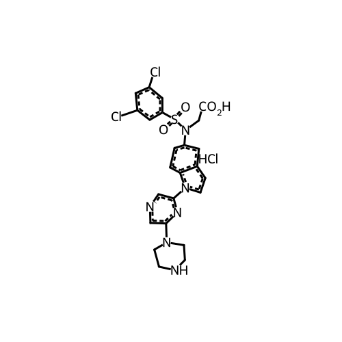 Cl.O=C(O)CN(c1ccc2c(ccn2-c2cncc(N3CCNCC3)n2)c1)S(=O)(=O)c1cc(Cl)cc(Cl)c1